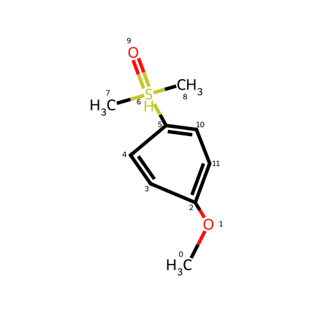 COc1ccc([SH](C)(C)=O)cc1